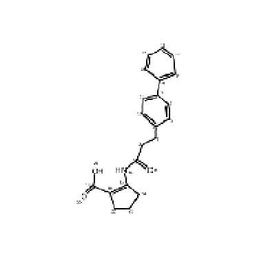 O=C(CCc1ccc(-c2ccccc2)cc1)NC1=C(C(=O)O)CCC1